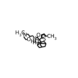 Cc1ccc(C(O)(C(=O)NCC2CN(C)CCO2)C23CC4CC(CC(C4)C2)C3)s1